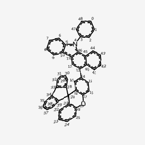 c1ccc(-n2c3ccccc3c3cc(-c4ccc5c(c4)C4(c6ccccc6O5)c5ccccc5-c5ccccc54)c4ccccc4c32)cc1